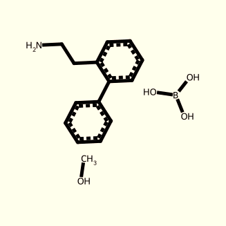 CO.NCCc1ccccc1-c1ccccc1.OB(O)O